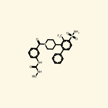 CC(C)(C)NC(=O)Nc1cccc(C(=O)N2CCC(c3c(-c4ccccc4)ccc(S(N)(=O)=O)c3C(F)(F)F)CC2)c1